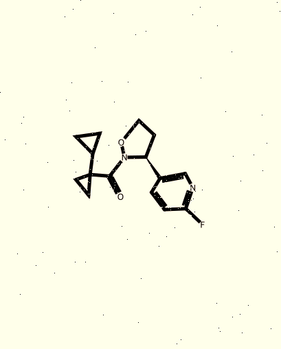 O=C(N1OCC[C@H]1c1ccc(F)nc1)C1(C2CC2)CC1